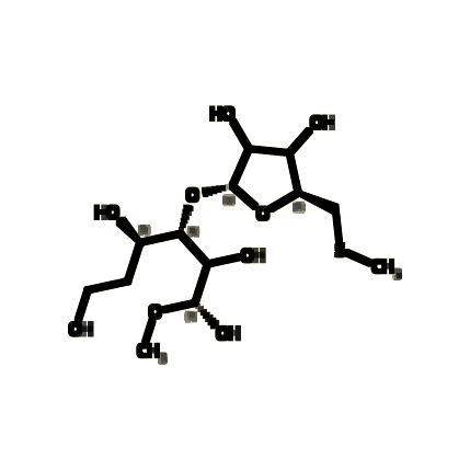 CO[C@@H](O)C(O)[C@@H](O[C@H]1O[C@H](CSC)C(O)C1O)[C@H](O)CCO